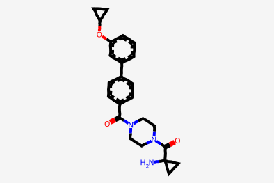 NC1(C(=O)N2CCN(C(=O)c3ccc(-c4cccc(OC5CC5)c4)cc3)CC2)CC1